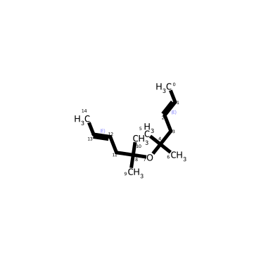 C/C=C/CC(C)(C)OC(C)(C)C/C=C/C